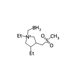 BC[N+]1(CC)CC(CC)C(CS(C)(=O)=O)C1